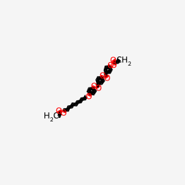 C=CC(=O)OCCCCCCCCCCCOc1ccc(OC(=O)c2ccc(OC(=O)c3ccc(OOC(=O)C=C)cc3)cc2)cc1